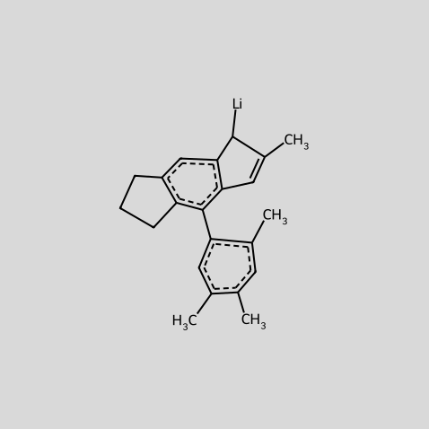 [Li][CH]1C(C)=Cc2c1cc1c(c2-c2cc(C)c(C)cc2C)CCC1